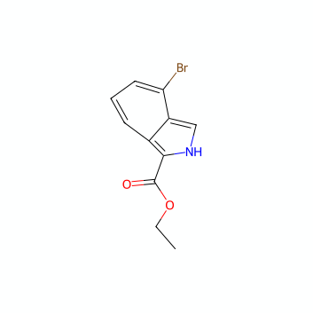 CCOC(=O)c1[nH]cc2c(Br)cccc12